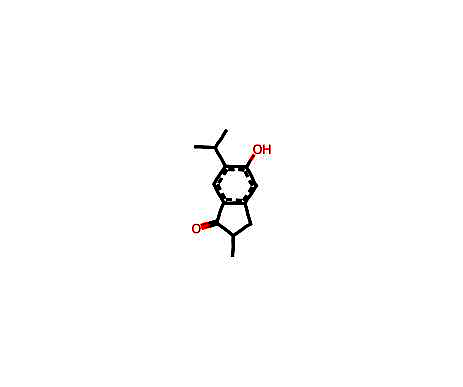 CC1Cc2cc(O)c(C(C)C)cc2C1=O